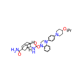 CC(C)OC1CCN(c2ccc(N3CCN(OC(=O)NC4[C@@H]5CC6C[C@H]4CC(C(N)=O)(C6)C5)c4ccccc43)cc2)CC1